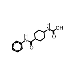 O=C(O)NC1CCC(C(=O)Nc2ccccc2)CC1